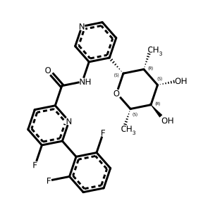 C[C@@H]1[C@H](O)[C@@H](O)[C@H](C)O[C@@H]1c1ccncc1NC(=O)c1ccc(F)c(-c2c(F)cccc2F)n1